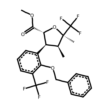 COC(=O)[C@@H]1O[C@@](C)(C(F)(F)F)[C@@H](C)[C@H]1c1cccc(C(F)(F)F)c1OCc1ccccc1